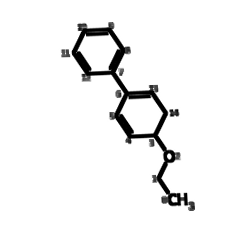 CCOC1C=CC(c2ccccc2)=CC1